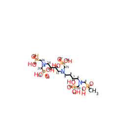 CP(=O)(O)CN(CCCCN(CCCCN(C[PH](=O)O)CP(=O)(O)O)CP(=O)(O)O)CP(=O)(O)O